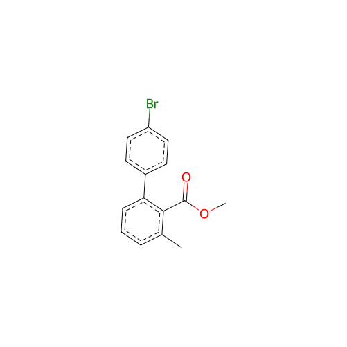 COC(=O)c1c(C)cccc1-c1ccc(Br)cc1